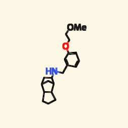 COCCOc1cccc(CNC2CC3CC2C2CCCC32)c1